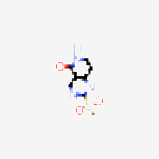 CS(=O)(=O)c1ncc2c(=O)[nH]ccc2n1